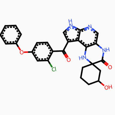 O=C(c1ccc(Oc2ccccc2)cc1Cl)c1c[nH]c2ncc3c(c12)NC1(CCCC(O)C1)C(=O)N3